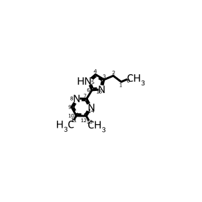 CCCc1c[nH]c(-c2ncc(C)c(C)n2)n1